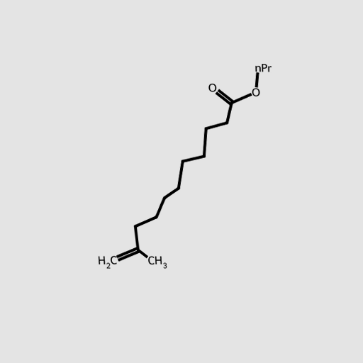 C=C(C)CCCCCCCCC(=O)OCCC